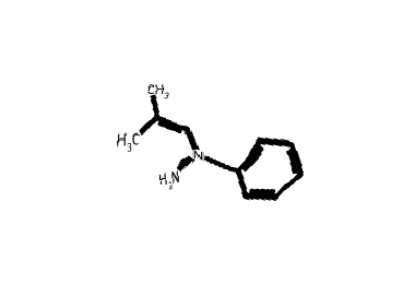 CC(C)=CN(N)c1ccccc1